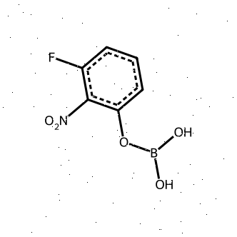 O=[N+]([O-])c1c(F)cccc1OB(O)O